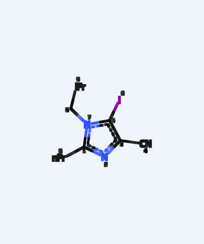 CCCc1nc(C#N)c(I)n1CC(C)C